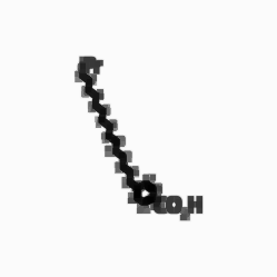 CC(C)CCCCCCCCCCCCCCCc1ccc(C(=O)O)cc1